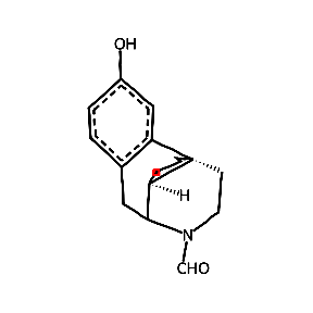 O=CN1CC[C@@]23CCCC[C@@H]2C1Cc1ccc(O)cc13